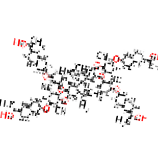 [C-]#[N+]c1c(Oc2ccc3cc(C(C)O)ccc3c2)cccc1Oc1cc2c(cc1Oc1cccc(Oc3ccc4cc(C(C)O)ccc4c3)c1[N+]#[C-])C1(CC(C)(C)c3cc(Oc4cccc(Oc5ccc6cc(C(C)O)ccc6c5)c4C#N)c(Oc4cccc(Oc5ccc6cc(C(C)O)ccc6c5)c4C#N)cc31)CC2(C)C